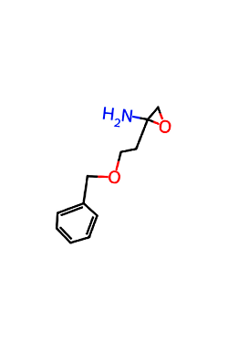 NC1(CCOCc2ccccc2)CO1